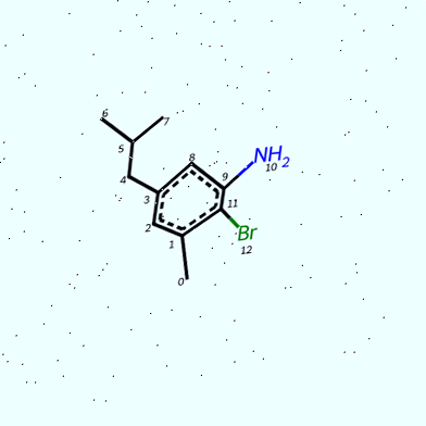 Cc1cc(CC(C)C)cc(N)c1Br